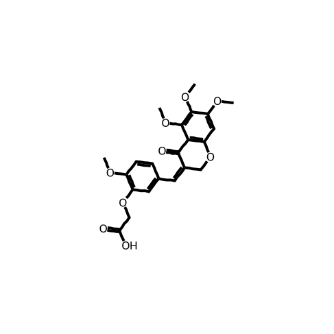 COc1ccc(C=C2COc3cc(OC)c(OC)c(OC)c3C2=O)cc1OCC(=O)O